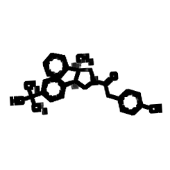 C[C@]1(c2ccccc2)CN(C(=O)Cc2ccc(C#N)cc2)C[C@H]1c1ccc(C(O)(C(F)(F)F)C(F)(F)F)cc1